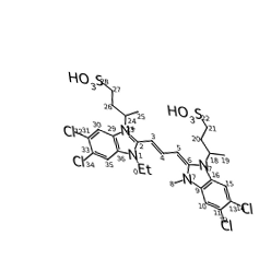 CCn1c(C=CC=C2N(C)c3cc(Cl)c(Cl)cc3N2C(C)CCS(=O)(=O)O)[n+](C(C)CCS(=O)(=O)O)c2cc(Cl)c(Cl)cc21